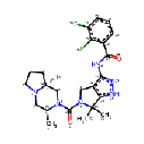 C[C@H]1CN2CCC[C@H]2CN1C(=O)N1Cc2c(NC(=O)c3cccc(F)c3F)n[nH]c2C1(C)C